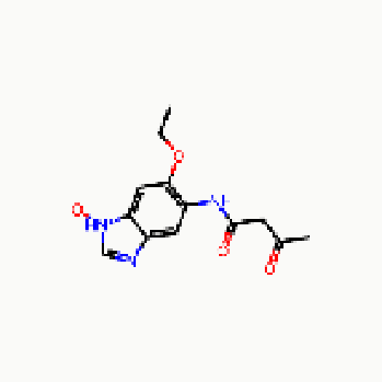 CCOc1cc2c(cc1NC(=O)CC(C)=O)N=C[NH+]2[O-]